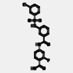 O=C(Nc1ccc(C(=O)O)c(F)c1)c1cccc(NS(=O)(=O)c2cccc(Cl)c2)c1